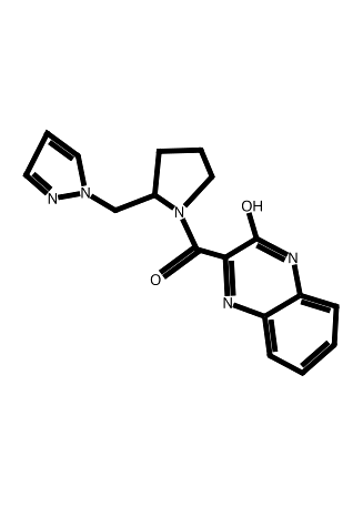 O=C(c1nc2ccccc2nc1O)N1CCCC1Cn1cccn1